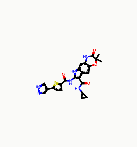 CC1(C)Oc2cc3c(C(=O)NC4CC4)c(NC(=O)c4ccc(-c5cn[nH]c5)s4)[nH]c3cc2NC1=O